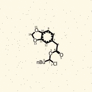 CCCCC(Cl)OC(=O)Cc1ccc2c(c1)OCO2